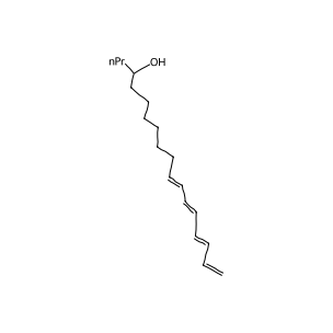 C=CC=CC=CC=CCCCCCCC(O)CCC